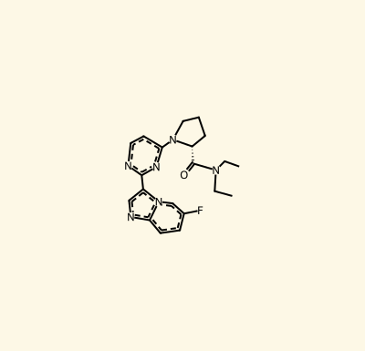 CCN(CC)C(=O)[C@H]1CCCN1c1ccnc(-c2cnc3ccc(F)cn23)n1